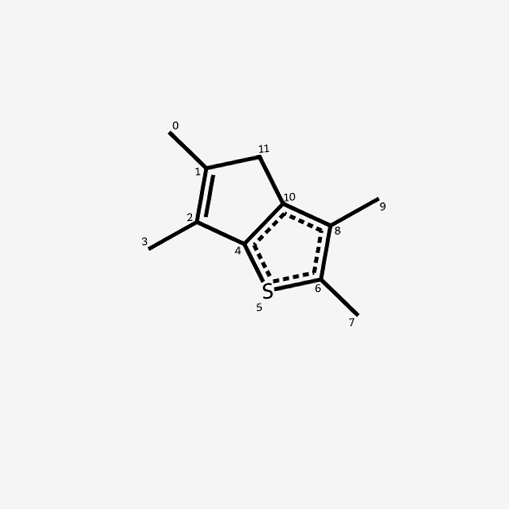 CC1=C(C)c2sc(C)c(C)c2C1